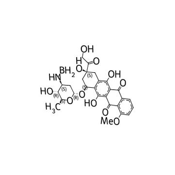 BN[C@H]1C[C@H](O[C@H]2C[C@](O)(C(=O)CO)Cc3c(O)c4c(c(O)c32)C(=O)c2c(OC)cccc2C4=O)O[C@@H](C)[C@@H]1O